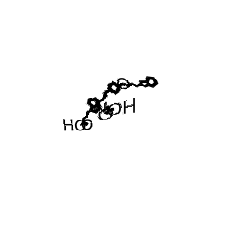 O=C(O)CCCc1cn(CC(=O)O)c2c(/C=C/c3ccc(OCCCC4Cc5ccccc5C4)cc3)cccc12